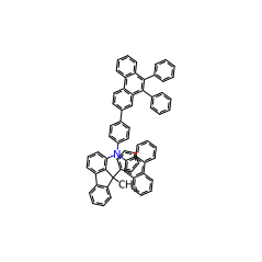 CC1(c2ccccc2)c2ccccc2-c2cccc(N(c3ccc(-c4ccc5c(c4)c(-c4ccccc4)c(-c4ccccc4)c4ccccc45)cc3)c3cc4ccccc4c4ccccc34)c21